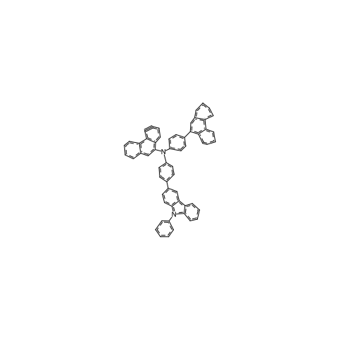 c1ccc2c(N(c3ccc(-c4ccc5c(c4)c4ccccc4n5-c4ccccc4)cc3)c3ccc(-c4cc5ccccc5c5ccccc45)cc3)cc3ccccc3c2c#1